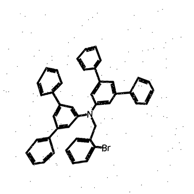 Brc1ccccc1CN(c1cc(-c2ccccc2)cc(-c2ccccc2)c1)c1cc(-c2ccccc2)cc(-c2ccccc2)c1